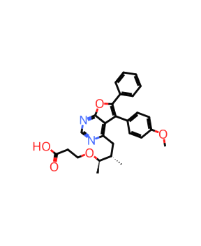 COc1ccc(-c2c(-c3ccccc3)oc3ncnc(C[C@H](C)[C@@H](C)OCCC(=O)O)c23)cc1